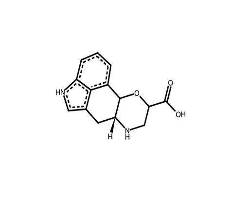 O=C(O)C1CN[C@@H]2Cc3c[nH]c4cccc(c34)C2O1